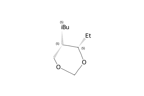 CC[C@@H]1OCOC[C@@H]1[C@@H](C)CC